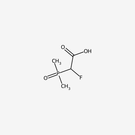 CP(C)(=O)C(F)C(=O)O